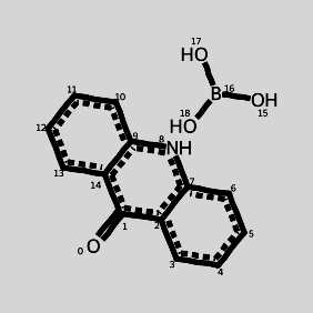 O=c1c2ccccc2[nH]c2ccccc12.OB(O)O